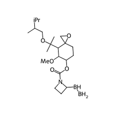 BBC1CCN1C(=O)OC1CCC2(CO2)C(C(C)(C)OCC(C)C(C)C)C1OC